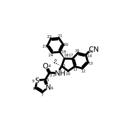 C[C@@]1(NC(=O)c2nccs2)Cc2ccc(C#N)cc2[C@@H]1c1ccccc1